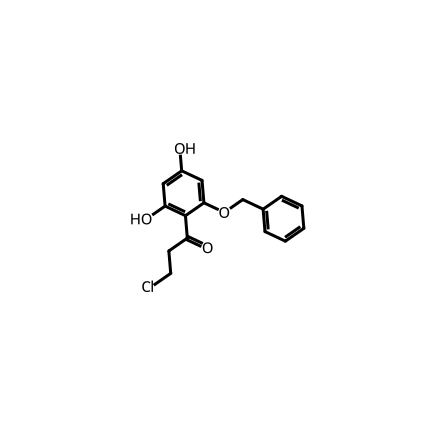 O=C(CCCl)c1c(O)cc(O)cc1OCc1ccccc1